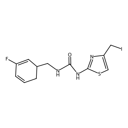 O=C(NCC1C=C(F)C=CC1)Nc1nc(CI)cs1